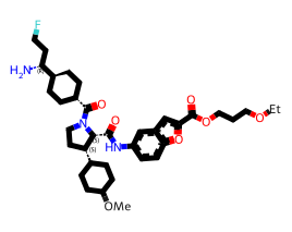 CCOCCCOC(=O)c1cc2cc(NC(=O)[C@@H]3[C@H](C4CCC(OC)CC4)CCN3C(=O)[C@H]3CC[C@H]([C@H](N)CCF)CC3)ccc2o1